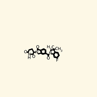 CC1(C)CN(C(=O)c2ccc3c(c2)CN(C2CCC(=O)NC2=O)C3=O)c2cc(F)ccc21